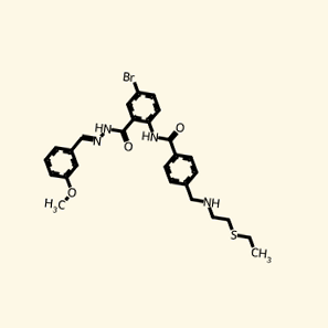 CCSCCNCc1ccc(C(=O)Nc2ccc(Br)cc2C(=O)NN=Cc2cccc(OC)c2)cc1